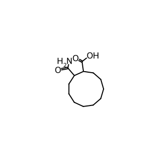 NC(=O)C1CCCCCCCCCC1C(=O)O